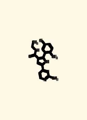 CCNC(=O)c1cc(-c2ccnc(N)n2)[nH]c1-c1cc(Cl)ccc1C